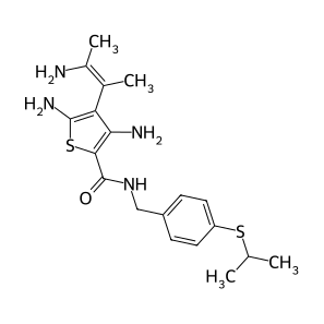 C/C(N)=C(\C)c1c(N)sc(C(=O)NCc2ccc(SC(C)C)cc2)c1N